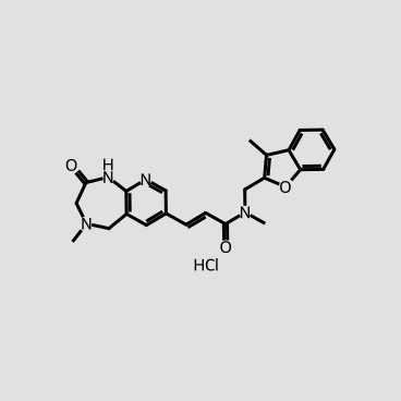 Cc1c(CN(C)C(=O)/C=C/c2cnc3c(c2)CN(C)CC(=O)N3)oc2ccccc12.Cl